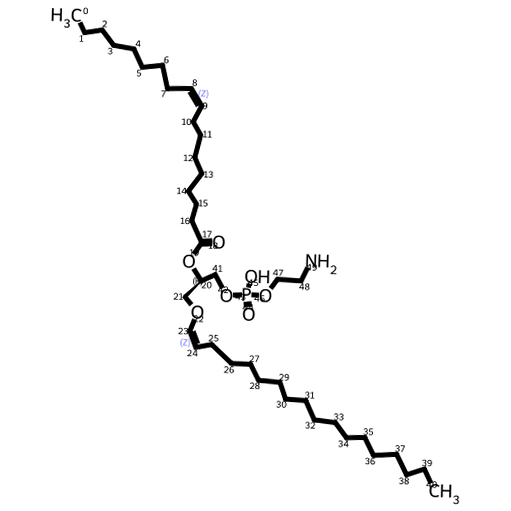 CCCCCCCC/C=C\CCCCCCCC(=O)O[C@H](CO/C=C\CCCCCCCCCCCCCCCC)COP(=O)(O)OCCN